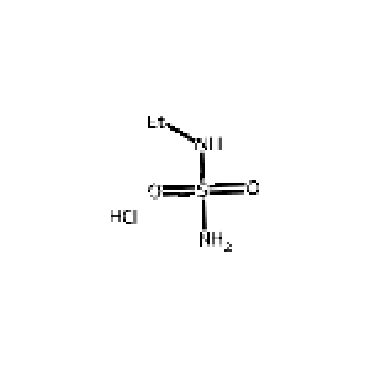 CCNS(N)(=O)=O.Cl